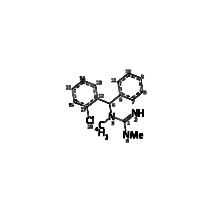 CNC(=N)N(C)C(c1ccccc1)c1ccccc1Cl